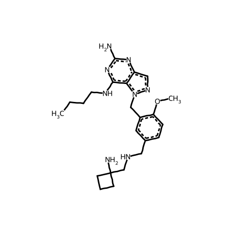 CCCCNc1nc(N)nc2cnn(Cc3cc(CNCC4(N)CCC4)ccc3OC)c12